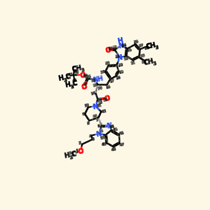 COCCCn1c([C@@H]2CCCN(C(=O)C[C@@H](Cc3ccc(-n4c(=O)[nH]c5cc(C)c(C)cc54)cc3)NC(=O)OC(C)(C)C)C2)nc2ccccc21